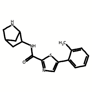 Cc1ccccc1-c1cnc(C(=O)NC2CC3CNC2C3)s1